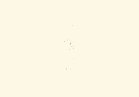 CCCCC[C@H]1CO[C@H](c2ccc([C@H]3CC[C@H](CCCC)CC3)cc2)CO1